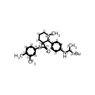 CCCCC(C)Nc1ccc(C2N(C)CCCC23C(=O)N3c2ccc(C)c(C(F)(F)F)c2)cc1